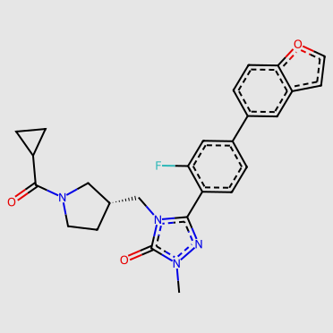 Cn1nc(-c2ccc(-c3ccc4occc4c3)cc2F)n(C[C@@H]2CCN(C(=O)C3CC3)C2)c1=O